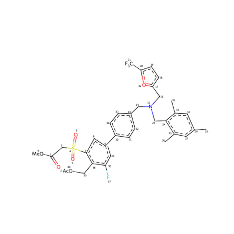 COC(=O)CS(=O)(=O)c1cc(-c2ccc(CN(Cc3ccc(C(F)(F)F)o3)Cc3c(C)cc(C)cc3C)cc2)cc(F)c1COC(C)=O